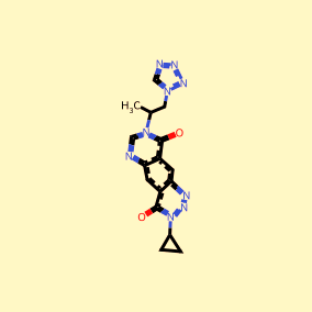 CC(Cn1cnnn1)n1cnc2cc3c(=O)n(C4CC4)nnc3cc2c1=O